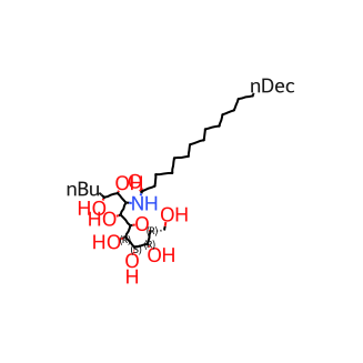 CCCCCCCCCCCCCCCCCCCCCCCC(=O)NC(C(O)C(O)CCCC)C(O)C1O[C@H](CO)[C@H](O)[C@H](O)[C@H]1O